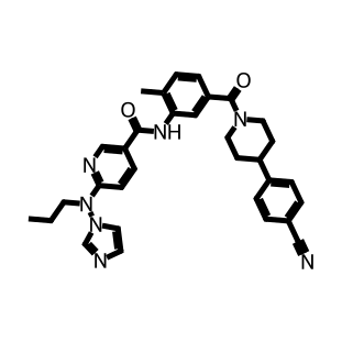 CCCN(c1ccc(C(=O)Nc2cc(C(=O)N3CCC(c4ccc(C#N)cc4)CC3)ccc2C)cn1)n1ccnc1